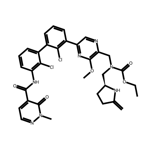 C=C1CC[C@@H](CN(Cc2ncc(-c3cccc(-c4cccc(NC(=O)c5ccnn(C)c5=O)c4Cl)c3Cl)nc2OC)C(=O)OCC)N1